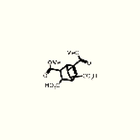 COC(=O)C1C2C=CC(C1C(=O)O)C(C(=O)O)C2C(=O)OC